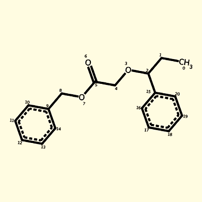 CCC(OCC(=O)OCc1ccccc1)c1ccccc1